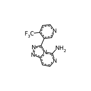 Nc1nccc2nnc(-c3cnccc3C(F)(F)F)n12